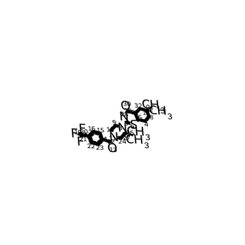 CC1(C)CCC2SC(N3CCN(C(=O)c4ccc(C(F)(F)F)cc4)CC3(C)C)=NC(=O)C2C1